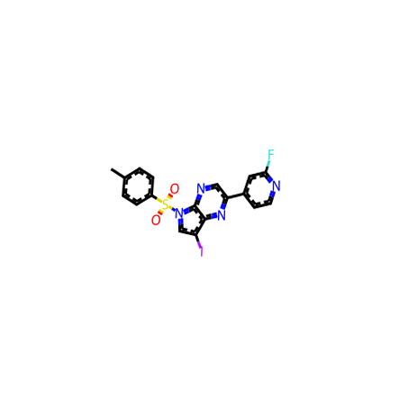 Cc1ccc(S(=O)(=O)n2cc(I)c3nc(-c4ccnc(F)c4)cnc32)cc1